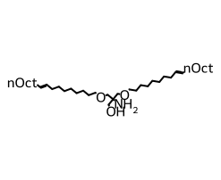 CCCCCCCCC=CCCCCCCCCOCC(N)(CO)COCCCCCCCCC=CCCCCCCCC